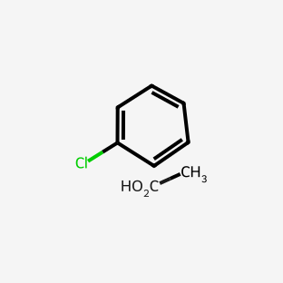 CC(=O)O.Clc1ccccc1